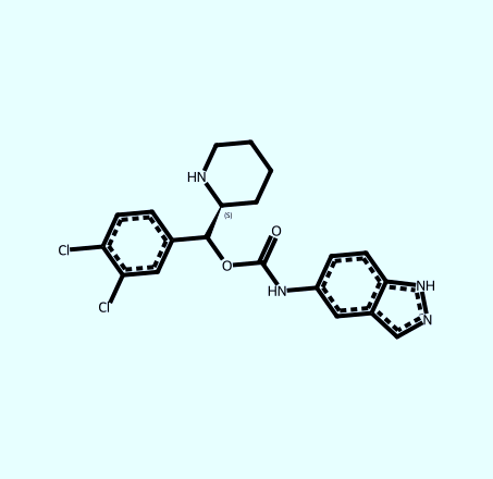 O=C(Nc1ccc2[nH]ncc2c1)OC(c1ccc(Cl)c(Cl)c1)[C@@H]1CCCCN1